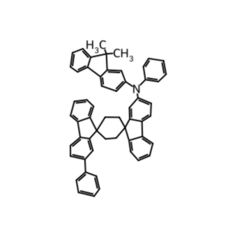 CC1(C)c2ccccc2-c2ccc(N(c3ccccc3)c3ccc4c(c3)C3(CCC5(CC3)c3ccccc3-c3ccc(-c6ccccc6)cc35)c3ccccc3-4)cc21